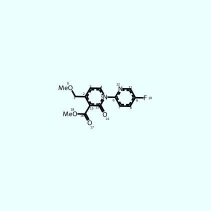 COCc1ccn(-c2ccc(F)cn2)c(=O)c1C(=O)OC